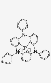 ClP12(Cl)c3c4cccc3N(c3ccccc3)c3cccc(c31)N(c1ccccc1)c1cccc(c12)N4c1ccccc1